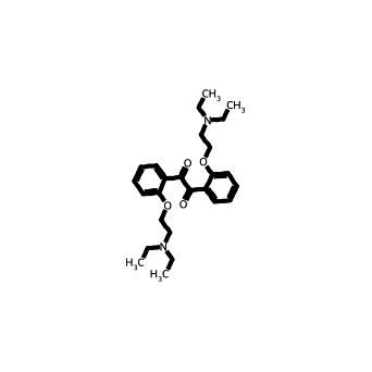 CCN(CC)CCOc1ccccc1C(=O)C(=O)c1ccccc1OCCN(CC)CC